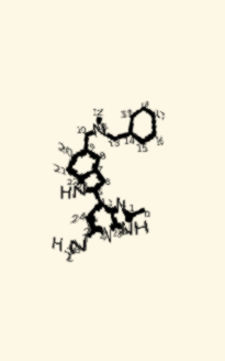 Cc1nc2c(-c3cc4cc(CN(C)CC5CCCCC5)ccc4[nH]3)cc(N)nc2[nH]1